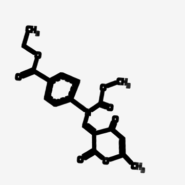 CCOC(=O)c1ccc(N(C=C2C(=O)C=C(C)OC2=O)C(=O)OC)cc1